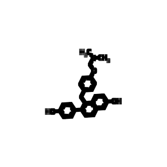 CN(C)COc1ccc(Cc2c(-c3ccc(O)cc3)ccc3cc(O)ccc23)cc1